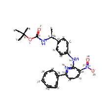 C[C@H](NC(=O)OC(C)(C)C)c1ccc(Nc2nc(-c3ccccc3)ccc2[N+](=O)[O-])cc1